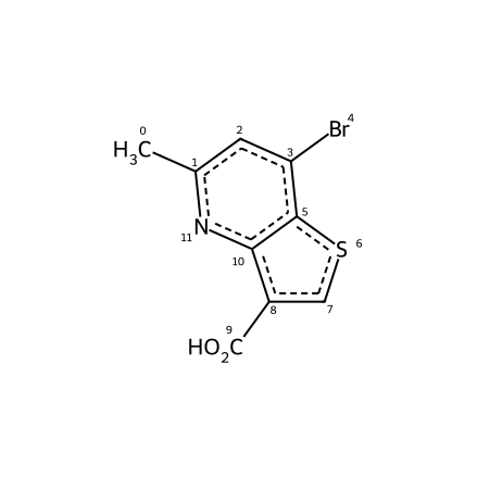 Cc1cc(Br)c2scc(C(=O)O)c2n1